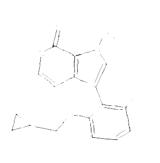 Cc1cccc(OCC2CC2)c1-c1cn(C)c2c(=O)[nH]ccc12